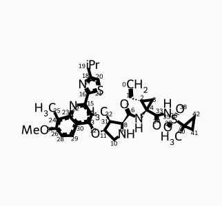 C=C[C@@H]1C[C@]1(NC(=O)[C@H]1NC[C@H](Oc2cc(-c3nc(C(C)C)cs3)nc3c(C)c(OC)ccc23)[C@H]1C)C(=O)NS(=O)(=O)C1(C)CC1